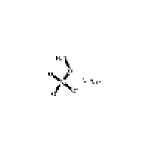 NO[Si]([O-])([O-])[O-].[Ca+2].[Na+]